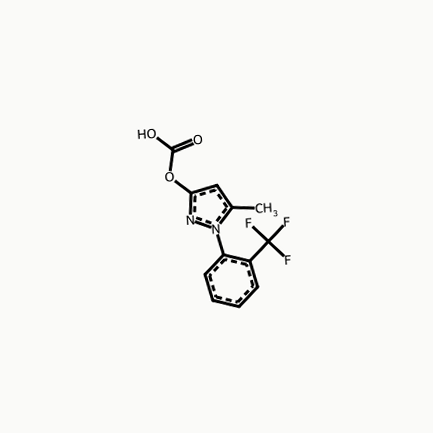 Cc1cc(OC(=O)O)nn1-c1ccccc1C(F)(F)F